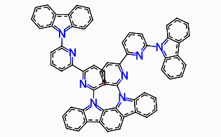 c1cc(-c2cccc(-n3c4ccccc4c4ccc5c6ccccc6n(-c6cccc(-c7cccc(-n8c9ccccc9c9ccccc98)n7)n6)c5c43)n2)nc(-n2c3ccccc3c3ccccc32)c1